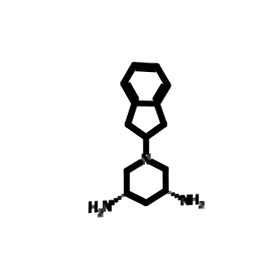 N[C@@H]1C[C@H](N)CN(C2Cc3ccccc3C2)C1